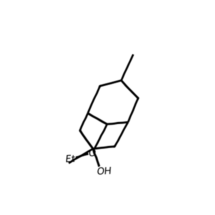 CCOC1C2CC(C)CC1CC(C)(O)C2